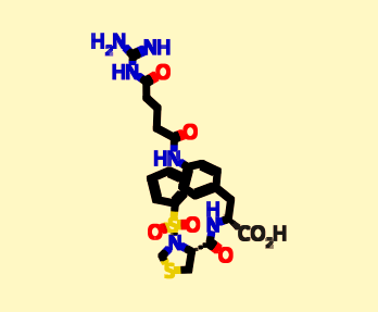 N=C(N)NC(=O)CCCC(=O)Nc1ccc(C[C@H](NC(=O)[C@@H]2CSCN2S(=O)(=O)c2ccccc2)C(=O)O)cc1